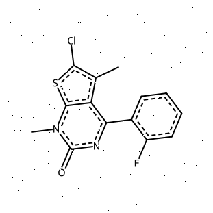 Cc1c(Cl)sc2c1c(-c1ccccc1F)nc(=O)n2C